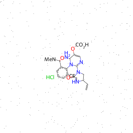 C=CC1CN(C2=NC=C(OC(=O)O)C(N)N2c2c(C(=O)NC)cccc2C(F)(F)F)C(=O)N1.Cl